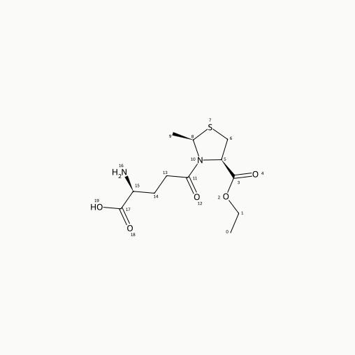 CCOC(=O)[C@@H]1CS[C@H](C)N1C(=O)CC[C@H](N)C(=O)O